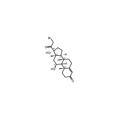 C[C@]12CCC(=O)C=C1CC[C@H]1[C@@H]3CC[C@](O)(C(=O)CBr)[C@@]3(C)C[C@H](O)C12F